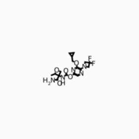 CC1OCC1(NC(=O)Oc1cnc(N2CC(F)(F)C2)c(OCC2CC2)n1)C(N)=O